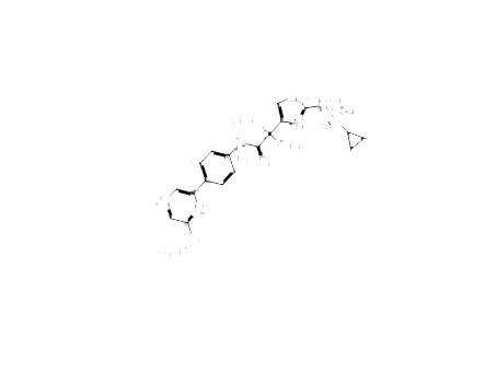 CCCOc1cncc(-c2ccc(NC(=O)C(C)(C)c3csc(NS(=O)(=O)C4CC4)n3)cc2)n1